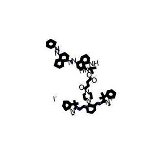 CN1/C(=C/C=C2\CCCC(/C=C/C3=[N+](C)c4ccccc4C3(C)C)=C2N2CCN(C(=O)CCC(=O)OCC3(C)Nc4cccc5c(/N=N/c6ccc(/N=N/c7ccccc7)c7ccccc67)ccc(c45)N3)CC2)C(C)(C)c2ccccc21.[I-]